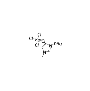 CCCCn1cc[n+](C)c1.[Cl][Fe-]([Cl])([Cl])[Cl]